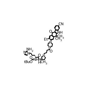 CCc1cc2c(cc1N1CCN(C(=O)CCCN3CC[C@@](C)(NC(=O)[C@H](CCCn4ccnc4N)NC(=O)OC(C)(C)C)C3)CC1)C(C)(C)c1[nH]c3cc(C#N)ccc3c1C2=O